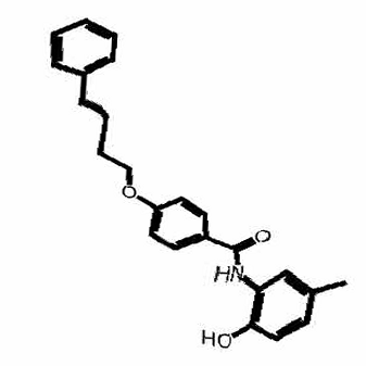 Cc1ccc(O)c(NC(=O)c2ccc(OCCCCc3ccccc3)cc2)c1